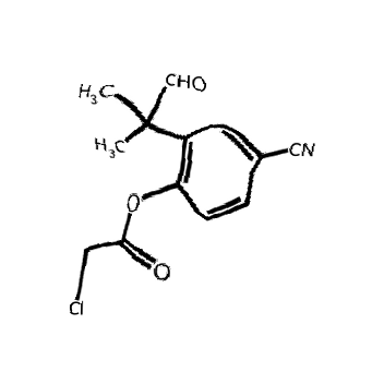 CC(C)(C=O)c1cc(C#N)ccc1OC(=O)CCl